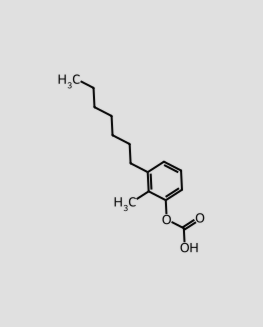 CCCCCCCc1cccc(OC(=O)O)c1C